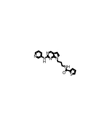 O=C(NCCCn1ccc2cnc(Nc3cccnc3)nc21)c1cccs1